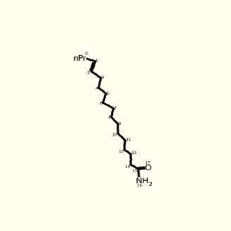 CCCC=CCCCCCCCCCCCCC(N)=O